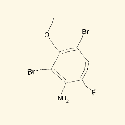 COc1c(Br)cc(F)c(N)c1Br